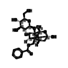 C[C@]12O[C@@H]3C[C@](O)(O1)[C@@H]1C[C@@]2(O[C@@H]2O[C@H](CO)[C@@H](O)[C@H](O)[C@H]2O)[C@@]13COC(=O)c1ccccc1